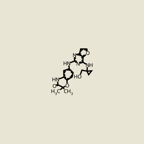 CC1(C)Oc2ccc(Nc3nc(NC4(CO)CC4)c4occc4n3)cc2NC1=O